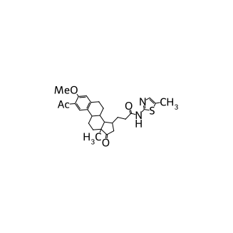 COc1cc2c(cc1C(C)=O)C1CCC3(C)C(=O)CC(CCC(=O)Nc4ncc(C)s4)C3C1CC2